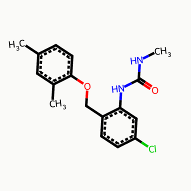 CNC(=O)Nc1cc(Cl)ccc1COc1ccc(C)cc1C